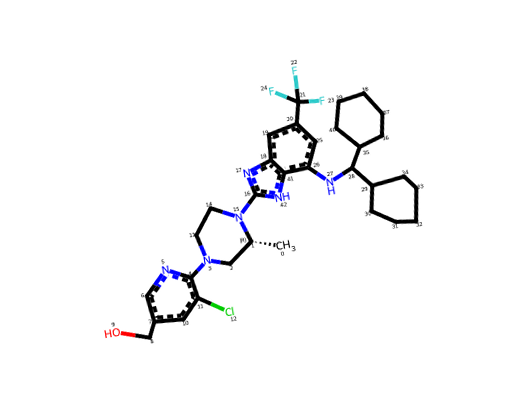 C[C@@H]1CN(c2ncc(CO)cc2Cl)CCN1c1nc2cc(C(F)(F)F)cc(NC(C3CCCCC3)C3CCCCC3)c2[nH]1